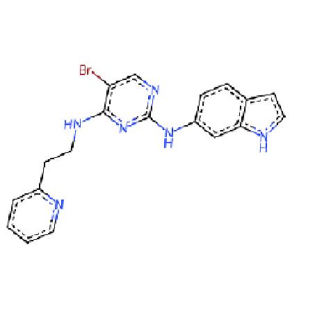 Brc1cnc(Nc2ccc3cc[nH]c3c2)nc1NCCc1ccccn1